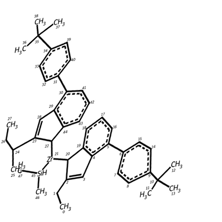 CCC1=Cc2c(-c3ccc(C(C)(C)C)cc3)cccc2[CH]1[Zr]([CH]1C(C(C)CC)=Cc2c(-c3ccc(C(C)(C)C)cc3)cccc21)[SiH](C)C